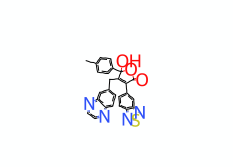 Cc1ccc(C2(O)OC(=O)C(c3ccc4nsnc4c3)=C2Cc2ccc3nccnc3c2)cc1